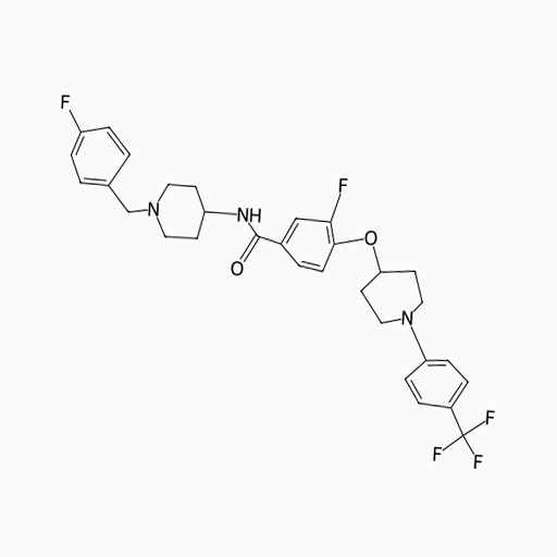 O=C(NC1CCN(Cc2ccc(F)cc2)CC1)c1ccc(OC2CCN(c3ccc(C(F)(F)F)cc3)CC2)c(F)c1